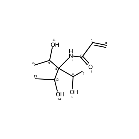 C=CC(=O)NC(C(C)O)(C(C)O)C(C)O